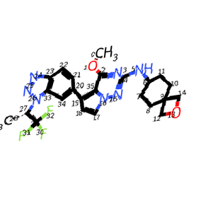 COc1nc(NC2CCC3(CC2)COC3)nn2ccc(-c3ccc4nnn([C@@H](C)C(F)(F)F)c4c3)c12